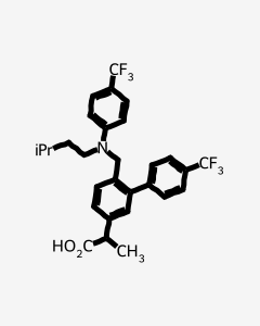 CC(C)CCN(Cc1ccc(C(C)C(=O)O)cc1-c1ccc(C(F)(F)F)cc1)c1ccc(C(F)(F)F)cc1